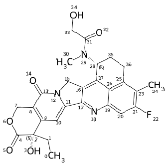 CC[C@@]1(O)C(=O)OCc2c1cc1n(c2=O)Cc2c-1nc1cc(F)c(C)c3c1c2[C@H](N(C)C(=O)CO)CC3